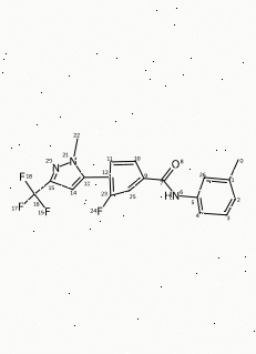 Cc1cccc(NC(=O)c2ccc(-c3cc(C(F)(F)F)nn3C)c(F)c2)c1